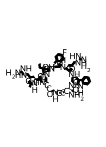 CC[C@@H](O)CN1C(=O)N[C@H](Cc2ccc(F)cc2)C(=O)N[C@@H](CCCNC(=N)N)C(=O)N[C@@H](Cc2c[nH]c3ccccc23)C(=O)N[C@H](C(N)=O)CCCNC(=O)CC[C@H](NC(=O)[C@H](CCCNC(=N)N)NC(C)=O)C1=O